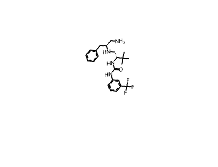 CC(C)(C)[C@@H](CN[C@H](CN)Cc1ccccc1)NC(=O)Nc1cccc(C(F)(F)F)c1